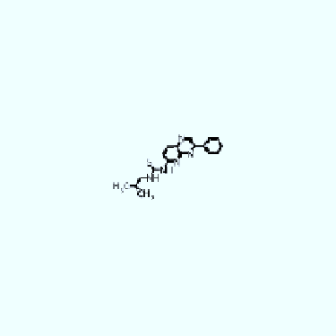 C=C(C)CNC(=S)Nc1ccc2ncc(-c3ccccc3)nc2n1